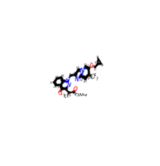 CCC(C(=O)OC)c1nn(Cc2cn3cc(OCC4CC4)c(C(F)(F)F)cc3n2)c2ccccc2c1=O